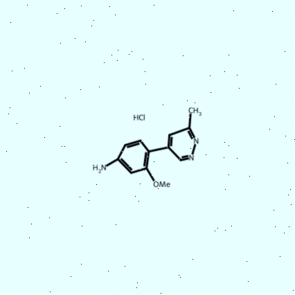 COc1cc(N)ccc1-c1cnnc(C)c1.Cl